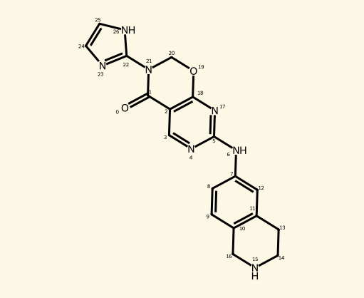 O=C1c2cnc(Nc3ccc4c(c3)CCNC4)nc2OCN1c1ncc[nH]1